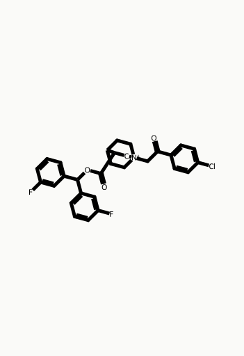 O=C(C[N+]12CCC(CC1)C(C(=O)OC(c1cccc(F)c1)c1cccc(F)c1)C2)c1ccc(Cl)cc1